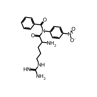 N=C(N)NCCCC(N)C(=O)N(C(=O)c1ccccc1)c1ccc([N+](=O)[O-])cc1